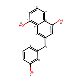 Oc1cccc(Cc2cc(O)c3cccc(O)c3c2)c1